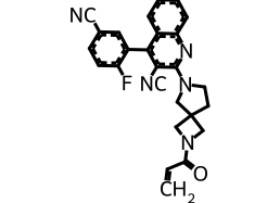 C=CC(=O)N1CC2(CCN(c3nc4ccccc4c(-c4cc(C#N)ccc4F)c3C#N)C2)C1